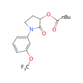 CCCCC(=O)OC1CCN(c2cccc(OC(F)(F)F)c2)C1=O